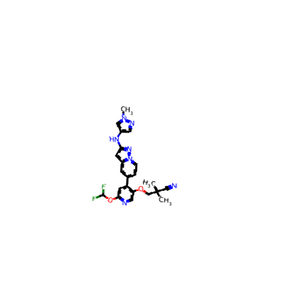 Cn1cc(Nc2cc3cc(-c4cc(OC(F)F)ncc4OCC(C)(C)C#N)ccn3n2)cn1